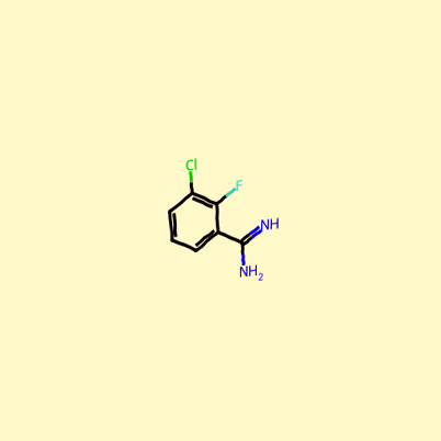 N=C(N)c1cccc(Cl)c1F